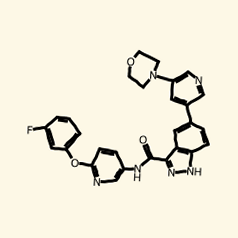 O=C(Nc1ccc(Oc2cccc(F)c2)nc1)c1n[nH]c2ccc(-c3cncc(N4CCOCC4)c3)cc12